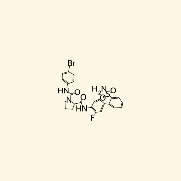 NS(=O)(=O)c1ccccc1-c1ccc(NC(=O)C2CCCN2C(=O)Nc2ccc(Br)cc2)c(F)c1